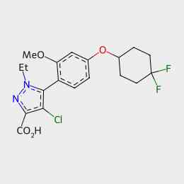 CCn1nc(C(=O)O)c(Cl)c1-c1ccc(OC2CCC(F)(F)CC2)cc1OC